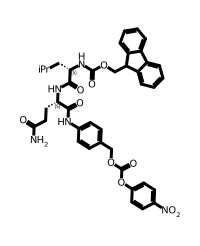 CC(C)C[C@H](NC(=O)OCC1c2ccccc2-c2ccccc21)C(=O)N[C@@H](CCC(N)=O)C(=O)Nc1ccc(COC(=O)Oc2ccc([N+](=O)[O-])cc2)cc1